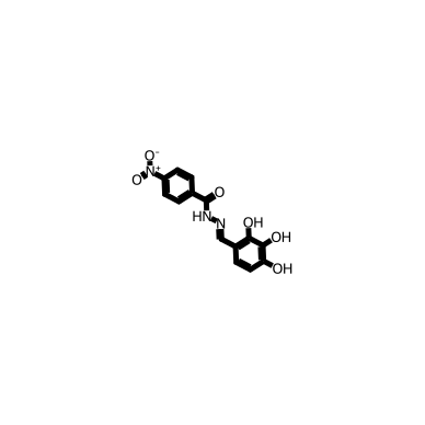 O=C(N/N=C/c1ccc(O)c(O)c1O)c1ccc([N+](=O)[O-])cc1